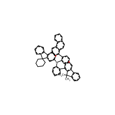 CC1(C)c2ccccc2-c2cccc(-c3ccccc3N(c3ccc4c(c3)C3(CCCCC3)c3ccccc3-4)c3ccccc3-c3cccc4c3ccc3ccccc34)c21